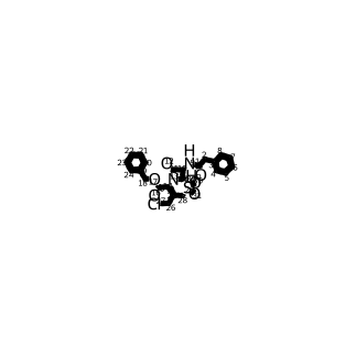 O=C(Cc1ccccc1)N[C@@H]1C(=O)N2C(C(=O)OCc3ccccc3)=C(CCl)CS(=O)(=O)[C@H]12